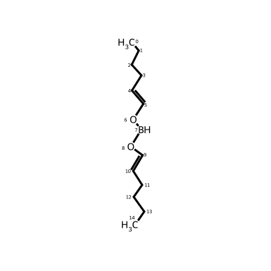 CCCCC=COBOC=CCCCC